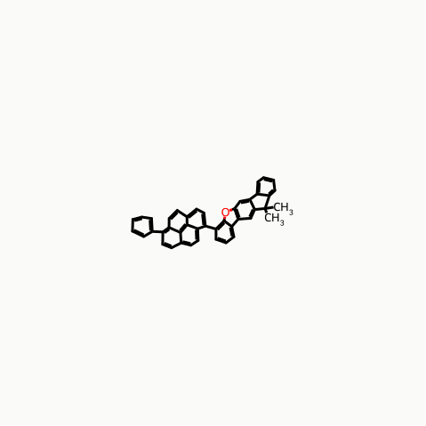 CC1(C)c2ccccc2-c2cc3oc4c(-c5ccc6ccc7c(-c8ccccc8)ccc8ccc5c6c87)cccc4c3cc21